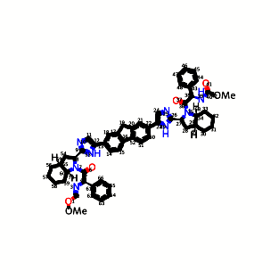 COO/C=N/[C@@H](C(=O)N1[C@H](c2ncc(-c3ccc4c(c3)Cc3cc(-c5cnc([C@@H]6C[C@@H]7CCCC[C@@H]7N6C(=O)[C@H](NC(=O)OC)c6ccccc6)[nH]5)ccc3-4)[nH]2)C[C@@H]2CCCC[C@@H]21)c1ccccc1